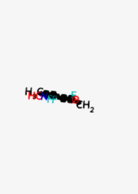 C=CCOc1ccc(-c2ccc(CCc3ccc(-c4ccc(C(C)O)nc4)c(F)c3F)cc2)cc1F